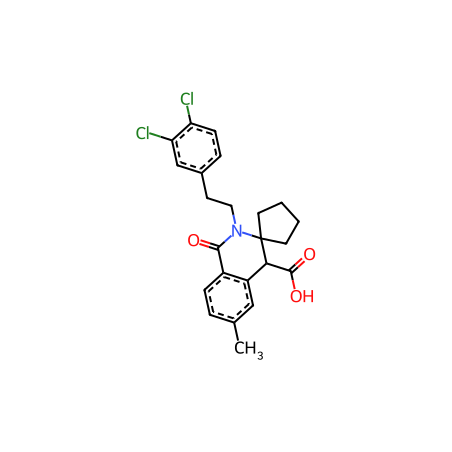 Cc1ccc2c(c1)C(C(=O)O)C1(CCCC1)N(CCc1ccc(Cl)c(Cl)c1)C2=O